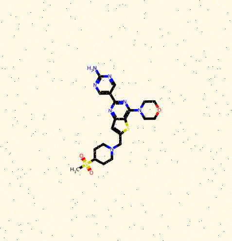 CS(=O)(=O)C1CCN(Cc2cc3nc(-c4cnc(N)nc4)nc(N4CCOCC4)c3s2)CC1